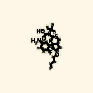 CCCCOC1CC2CSC(N(C(=O)O)C(C)(C)C)=NC2(c2cc(N)ccc2F)C1